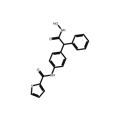 O=C(Nc1ccc(C(C(=O)NO)c2ccccc2)cc1)c1cccs1